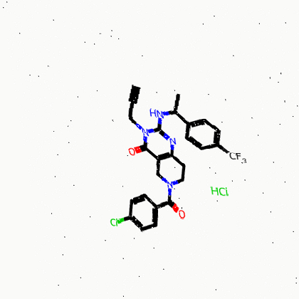 C#CCn1c(NC(C)c2ccc(C(F)(F)F)cc2)nc2c(c1=O)CN(C(=O)c1ccc(Cl)cc1)CC2.Cl